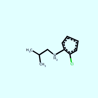 CC(C)C[SiH2]c1ccccc1Cl